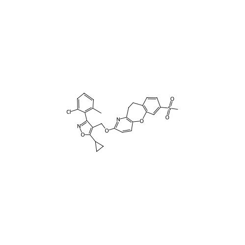 Cc1cccc(Cl)c1-c1noc(C2CC2)c1COc1ccc2c(n1)CCc1ccc(S(C)(=O)=O)cc1O2